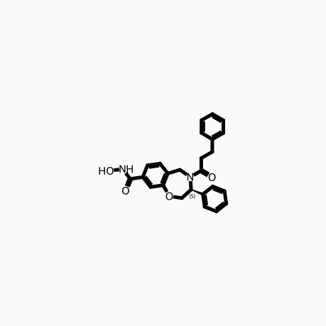 O=C(NO)c1ccc2c(c1)OC[C@H](c1ccccc1)N(C(=O)CCc1ccccc1)C2